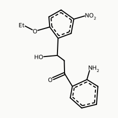 CCOc1ccc([N+](=O)[O-])cc1C(O)CC(=O)c1ccccc1N